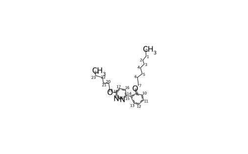 CCCCCCCCOc1ccccc1-c1ccc(OCCCCC)nn1